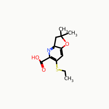 CCSc1cc2c(nc1C(=O)O)CC(C)(C)O2